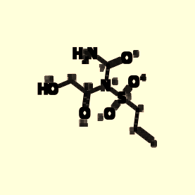 C=CCS(=O)(=O)N(C(N)=O)C(=O)CO